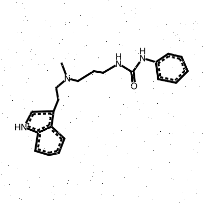 CN(CCCNC(=O)Nc1ccccc1)CCc1c[nH]c2ccccc12